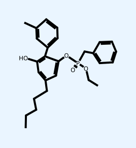 CCCCCc1cc(O)c(-c2cccc(C)c2)c(OP(=O)(Cc2ccccc2)OCC)c1